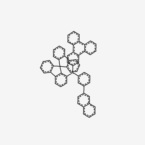 c1cc(-c2ccc3ccccc3c2)cc(N(c2ccc3c4ccccc4c4ccccc4c3c2)c2cccc3c2C2(c4ccccc4-c4ccccc42)c2ccccc2-3)c1